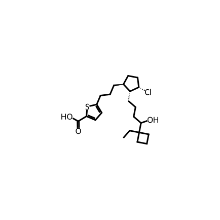 CCC1(C(O)CCC[C@@H]2[C@@H](CCCc3ccc(C(=O)O)s3)CC[C@@H]2Cl)CCC1